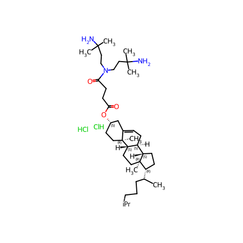 CC(C)CCCC(C)[C@H]1CC[C@H]2[C@@H]3CC=C4C[C@@H](OC(=O)CCC(=O)N(CCC(C)(C)N)CCC(C)(C)N)CC[C@]4(C)[C@H]3CC[C@]12C.Cl.Cl